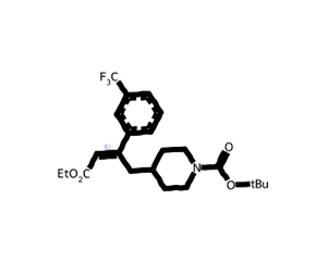 CCOC(=O)/C=C(\CC1CCN(C(=O)OC(C)(C)C)CC1)c1cccc(C(F)(F)F)c1